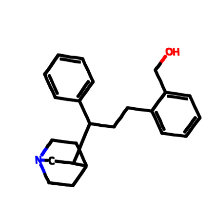 OCc1ccccc1CCC(c1ccccc1)C1CN2CCC1CC2